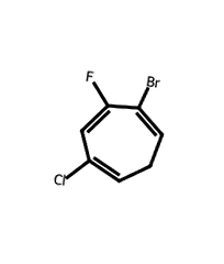 FC1=CC(Cl)=CCC=C1Br